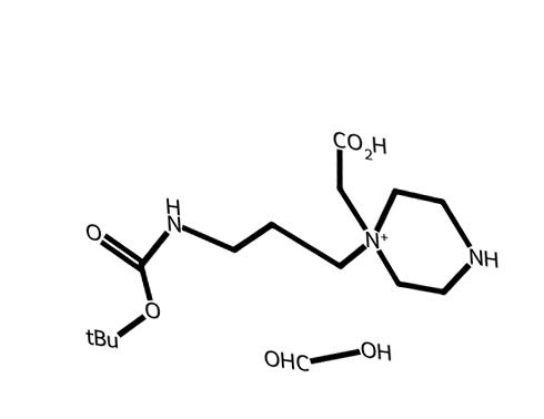 CC(C)(C)OC(=O)NCCC[N+]1(CC(=O)O)CCNCC1.O=CO